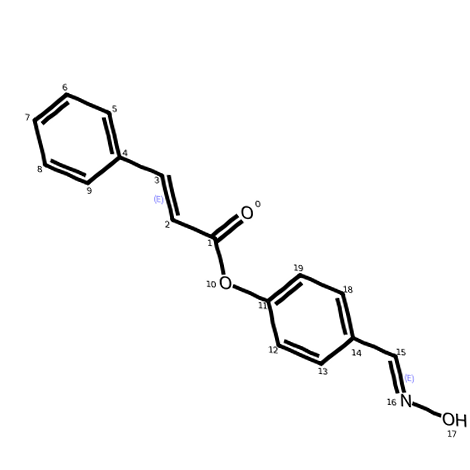 O=C(/C=C/c1ccccc1)Oc1ccc(/C=N/O)cc1